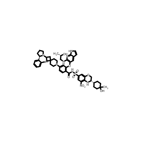 CC(C)c1ccccc1[C@H]1CCCN1C1CC2(CCN(c3ccc(C(=O)NS(=O)(=O)c4cc5c(c([N+](=O)[O-])c4)N[C@@H](C4CCC(C)(O)CC4)CO5)c(Oc4cc5cc[nH]c5nc4NC[C@H](C)O)c3)CC2)C1